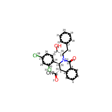 O=NC(=O)[C@H]1c2ccccc2C(=O)N([C@H](CO)Cc2ccccc2)[C@@H]1c1ccc(Cl)cc1Cl